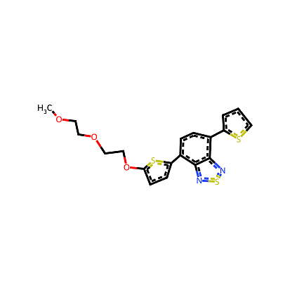 COCCOCCOc1ccc(-c2ccc(-c3cccs3)c3nsnc23)s1